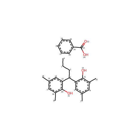 CCCC(c1cc(C)cc(C)c1O)c1cc(C)cc(C)c1O.O=C(O)c1ccccc1